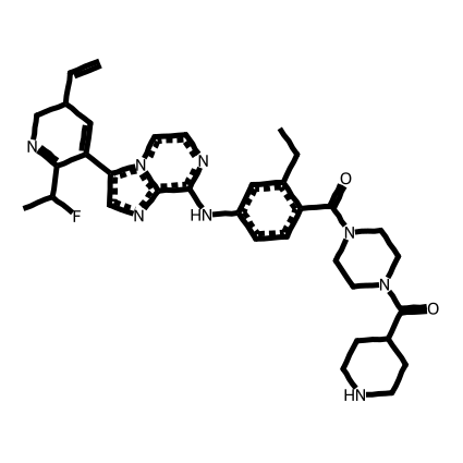 C=CC1C=C(c2cnc3c(Nc4ccc(C(=O)N5CCN(C(=O)C6CCNCC6)CC5)c(CC)c4)nccn23)C(C(C)F)=NC1